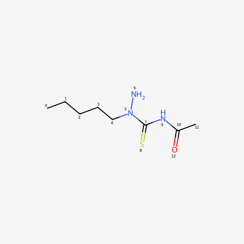 CCCCCN(N)C(=S)NC(C)=O